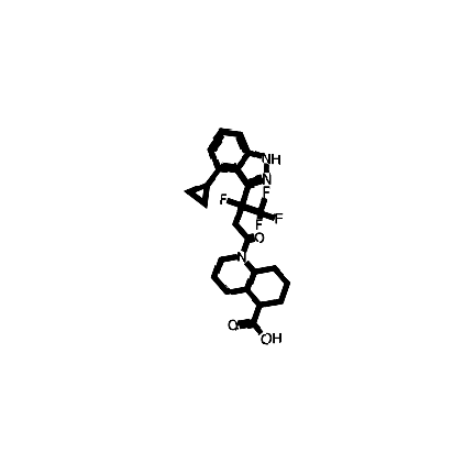 O=C(O)C1CCCC2C1CCCN2C(=O)CC(F)(c1n[nH]c2cccc(C3CC3)c12)C(F)(F)F